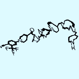 N#Cc1ccc(N2CCC(C(=O)Nc3ncc(N4CCC(CN5CCN(CC6CCNCC6)CC5)CC4)cn3)CC2)cc1C(F)(F)F